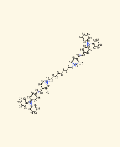 Cc1c[n+](CCCCCCCCCC[n+]2ccc(/C=C/c3ccc(N(c4ccccc4)c4ccccc4)cc3)c(C)c2)ccc1/C=C/c1ccc(N(c2ccccc2)c2ccccc2)cc1